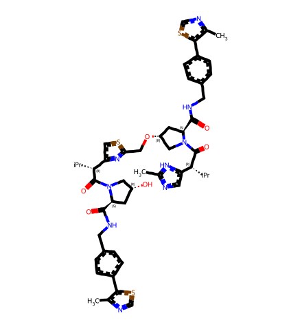 Cc1ncc([C@H](C(=O)N2C[C@H](OCc3nc([C@H](C(=O)N4C[C@H](O)C[C@H]4C(=O)NCc4ccc(-c5scnc5C)cc4)C(C)C)cs3)C[C@H]2C(=O)NCc2ccc(-c3scnc3C)cc2)C(C)C)[nH]1